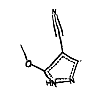 COc1[nH]n[c]c1C#N